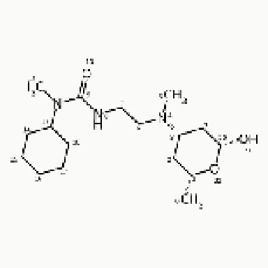 C[C@@H]1C[C@H](N(C)CCNC(=O)N(C)C2CCCCC2)C[C@H](O)O1